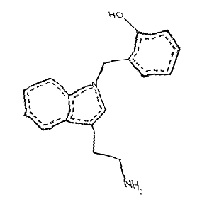 NCCc1cn(Cc2ccccc2O)c2ccccc12